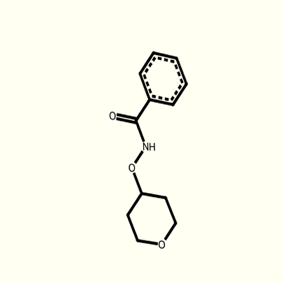 O=C(NOC1CCOCC1)c1ccccc1